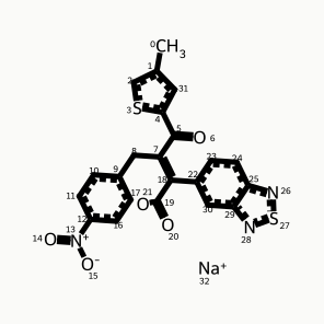 Cc1csc(C(=O)C(Cc2ccc([N+](=O)[O-])cc2)=C(C(=O)[O-])c2ccc3nsnc3c2)c1.[Na+]